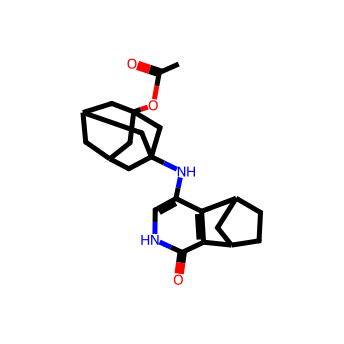 CC(=O)OC12CC3CC(CC(Nc4c[nH]c(=O)c5c4C4CCC5C4)(C3)C1)C2